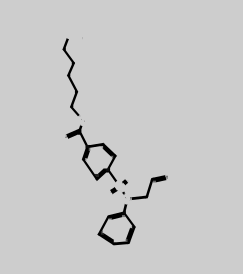 C=CCN(c1ccccc1)S(=O)(=O)c1ccc(C(=O)NCCCCCC)cc1